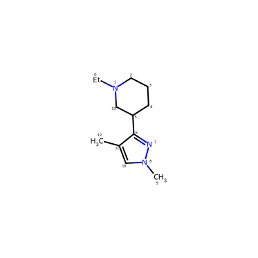 CCN1CCCC(c2nn(C)cc2C)C1